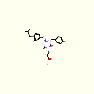 COC(=O)[C@@H](C)Cn1c(=O)[nH]/c(=N\c2ccc(CC(C)C)c(F)c2)n(Cc2ccc(Cl)cc2)c1=O